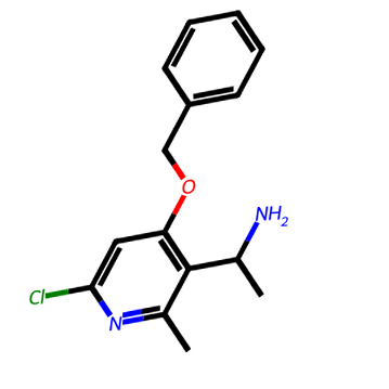 Cc1nc(Cl)cc(OCc2ccccc2)c1C(C)N